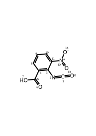 O=C=Nc1c(C(=O)O)cccc1[N+](=O)[O-]